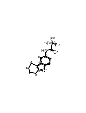 O=C(Nc1ccc2oc3c(c2c1)CCCC3)C(F)(F)F